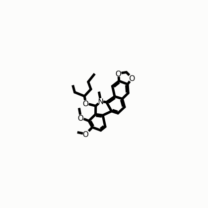 CCCC(CC)OC1c2c(ccc(OC)c2OC)-c2ccc3cc4c(cc3c2N1C)OCO4